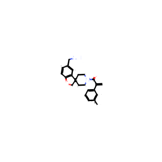 C=C(C(=O)N1CCC2(CC1)COc1ccc(CN)cc12)c1cccc(C)c1